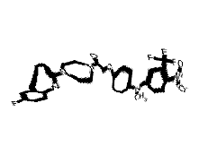 CN(c1ccc([N+](=O)[O-])c(C(F)(F)F)c1)C1CCC(OCC(=O)N2CCN(c3ccc4cc(F)ccc4n3)CC2)CC1